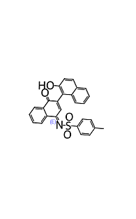 Cc1ccc(S(=O)(=O)/N=C2\C=C(c3c(O)ccc4ccccc34)C(=O)c3ccccc32)cc1